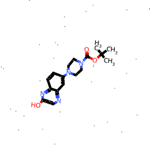 CC(C)(C)OC(=O)N1CCN(c2ccc3nc(O)cnc3c2)CC1